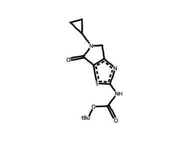 CC(C)(C)OC(=O)Nc1nc2c(s1)C(=O)N(C1CC1)C2